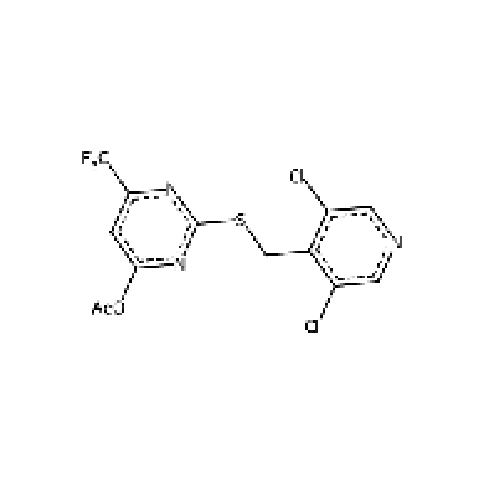 CC(=O)Oc1cc(C(F)(F)F)nc(SCc2c(Cl)cncc2Cl)n1